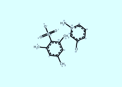 Cc1cc(C)c(S(=O)(=O)[O-])c(C)c1.N[n+]1cccc(Cl)c1